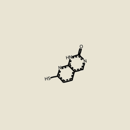 O=c1ncc2c[c]c(S)nc2[nH]1